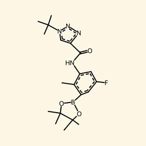 Cc1c(NC(=O)c2cn(C(C)(C)C)nn2)cc(F)cc1B1OC(C)(C)C(C)(C)O1